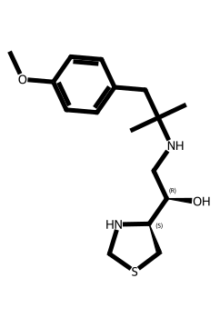 COc1ccc(CC(C)(C)NC[C@@H](O)[C@H]2CSCN2)cc1